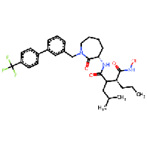 CCC[C@H](C(=O)NO)C(CC(C)C)C(=O)N[C@H]1CCCCN(Cc2cccc(-c3ccc(C(F)(F)F)cc3)c2)C1=O